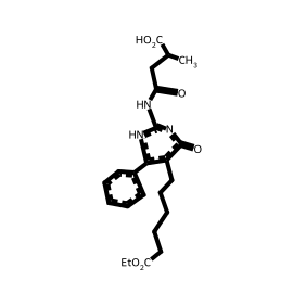 CCOC(=O)CCCCCc1c(-c2ccccc2)[nH]c(NC(=O)CC(C)C(=O)O)nc1=O